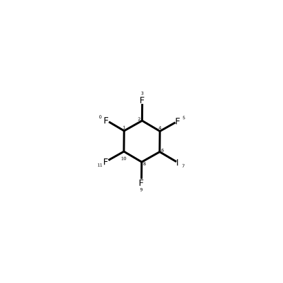 FC1C(F)C(F)C(I)C(F)C1F